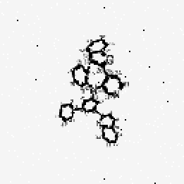 c1ccc(-c2cc(-c3ccc4ccccc4n3)cc(N3c4cnccc4-c4oc5ccccc5c4-c4ccccc43)c2)cc1